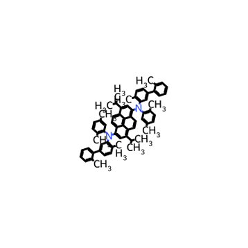 Cc1ccc(C)c(N(c2cc(-c3ccccc3C)ccc2C)c2cc(C(C)C)c3ccc4c(N(c5cc(C)ccc5C)c5cc(-c6ccccc6C)ccc5C)cc(C(C)C)c5ccc2c3c54)c1